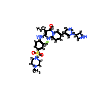 Cc1c(Nc2ccc(S(=O)(=O)N3CCN(C)CC3)cc2F)nc2ccc(-c3cnn(C4CNC4)c3)cn2c1=O